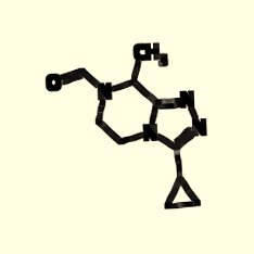 CC1c2nnc(C3CC3)n2CCN1C=O